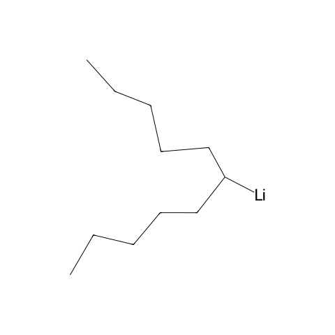 [Li][CH](CCCCC)CCCCC